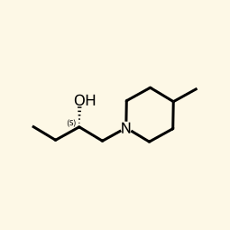 CC[C@H](O)CN1CCC(C)CC1